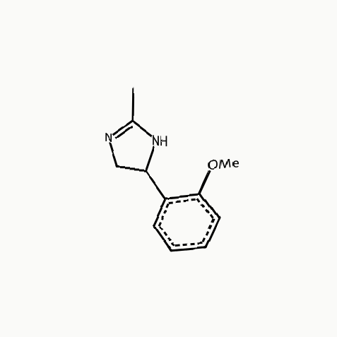 COc1ccccc1C1CN=C(C)N1